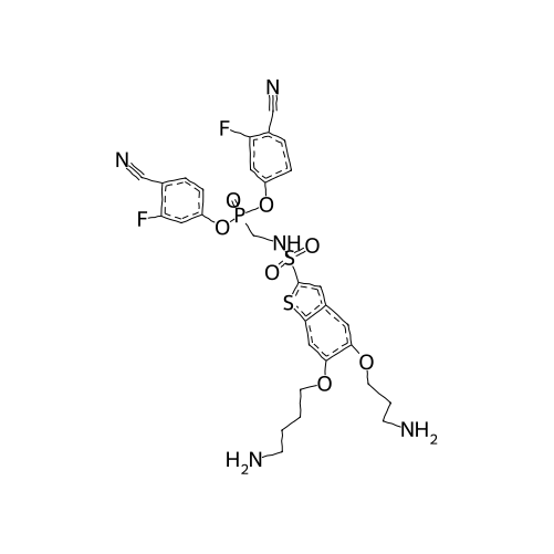 N#Cc1ccc(OP(=O)(CNS(=O)(=O)c2cc3cc(OCCCN)c(OCCCCN)cc3s2)Oc2ccc(C#N)c(F)c2)cc1F